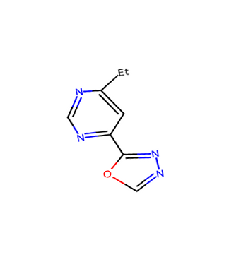 CCc1cc(-c2nnco2)ncn1